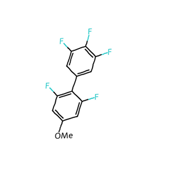 COc1cc(F)c(-c2cc(F)c(F)c(F)c2)c(F)c1